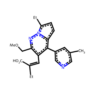 CCC(=Cc1c(COC)nn2c(CC)ccc2c1-c1cncc(C)c1)C(=O)O